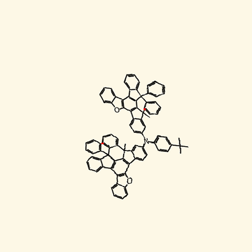 CC(C)(C)c1ccc(N(c2ccc3c(c2)C(C)(C)c2c4c(c5c(oc6ccccc65)c2-3)-c2ccccc2C4(c2ccccc2)c2ccccc2)c2ccc3c(c2)C2(C)c4ccccc4C4(c5ccccc5)c5ccccc5-c5c4c2c-3c2oc3ccccc3c52)cc1